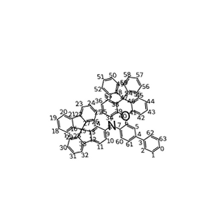 c1ccc(-c2ccc(N(c3ccc4c(c3)C3(c5ccccc5-c5ccccc53)c3ccccc3-4)c3cccc4c3Oc3ccccc3C4(c3ccccc3)c3ccccc3)cc2)cc1